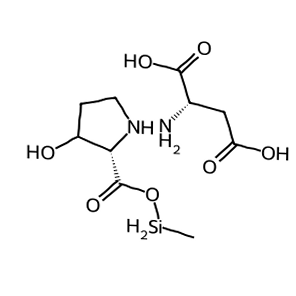 C[SiH2]OC(=O)[C@H]1NCCC1O.N[C@@H](CC(=O)O)C(=O)O